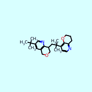 CC(C)(C)c1cnc2c(c1)COCC2CC(C)(C)c1ccnc2c1OCCC2